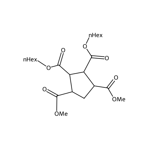 CCCCCCOC(=O)C1C(C(=O)OC)CC(C(=O)OC)C1C(=O)OCCCCCC